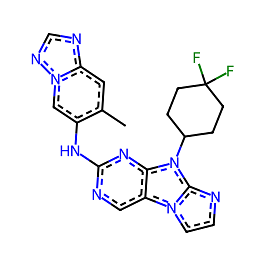 Cc1cc2ncnn2cc1Nc1ncc2c(n1)n(C1CCC(F)(F)CC1)c1nccn21